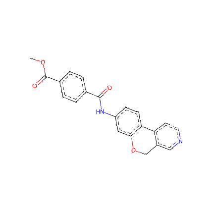 COC(=O)c1ccc(C(=O)Nc2ccc3c(c2)OCc2cnccc2-3)cc1